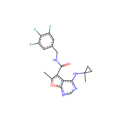 Cc1oc2ncnc(NC3(C)CC3)c2c1C(=O)NCc1cc(F)c(F)c(F)c1